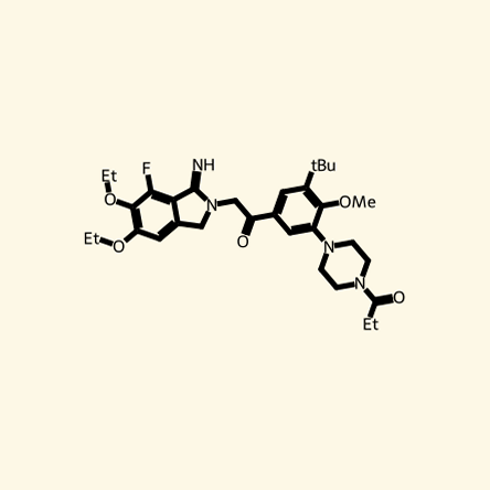 CCOc1cc2c(c(F)c1OCC)C(=N)N(CC(=O)c1cc(N3CCN(C(=O)CC)CC3)c(OC)c(C(C)(C)C)c1)C2